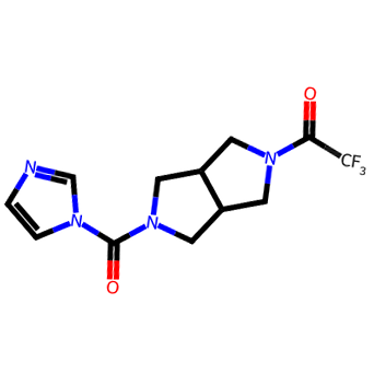 O=C(N1CC2CN(C(=O)C(F)(F)F)CC2C1)n1ccnc1